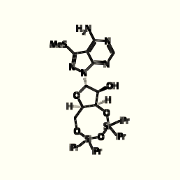 CSc1nn([C@H]2O[C@@H]3CO[Si](C(C)C)(C(C)C)O[Si](C(C)C)(C(C)C)O[C@@H]3[C@@H]2O)c2ncnc(N)c12